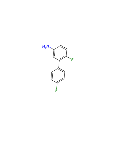 Nc1ccc(F)c(-c2ccc(F)cc2)c1